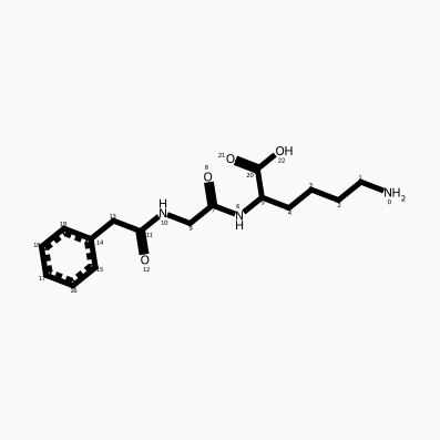 NCCCCC(NC(=O)CNC(=O)Cc1ccccc1)C(=O)O